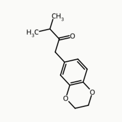 CC(C)C(=O)Cc1ccc2c(c1)OCCO2